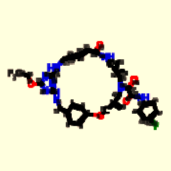 C=C1COc2ccc(cc2)CNc2nc(nc(OCC(F)(F)F)n2)Nc2ccc(cc2)C(=O)NCC(C)(C)CN(C(=O)C(=O)Nc2ccc(F)cc2)C1